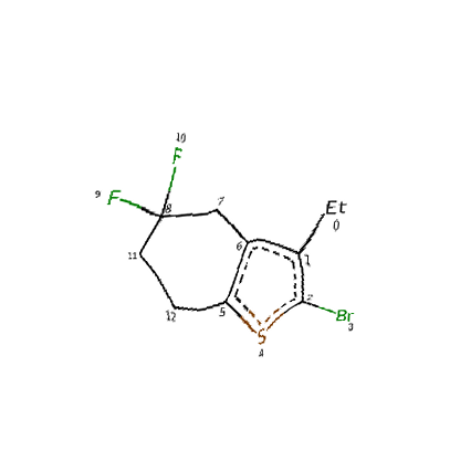 CCc1c(Br)sc2c1CC(F)(F)CC2